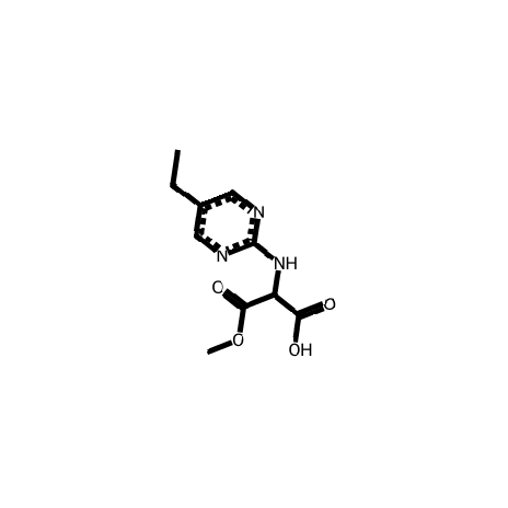 CCc1cnc(NC(C(=O)O)C(=O)OC)nc1